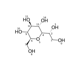 OC[C@@H](O)C1O[C@@H](CO)C(O)[C@@H](O)[C@@H]1O